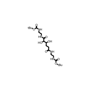 CC(C)(C)OC(=O)NCCNC(=O)CCC(O)C(O)C(=O)NCCNC(=O)OC(C)(C)C